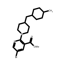 COC(=O)c1cc(Br)cnc1N1CCC(CC2CCC(C)CC2)CC1